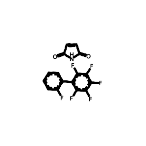 Fc1ccccc1-c1c(F)c(F)c(F)c(F)c1F.O=C1C=CC(=O)N1